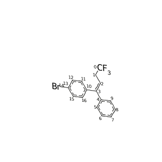 FC(F)(F)CC=C(c1ccccc1)c1ccc(Br)cc1